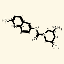 Cc1ccc2cc(OC(=O)N3CC(C)CC(C)C3)ccc2n1